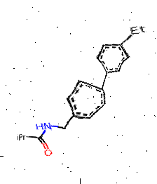 CCc1ccc(-c2ccc(CNC(=O)C(C)C)cc2)cc1